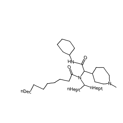 CCCCCCCCCCCCCCCCC(=O)N(C(CCCCCCC)CCCCCCC)C(C(=O)NC1CCCCC1)C1CCCN(C)CC1